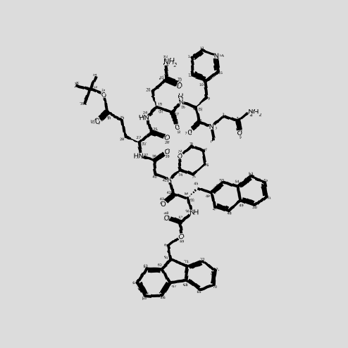 CN(CC(N)=O)C(=O)[C@H](Cc1cccnc1)NC(=O)[C@H](CC(N)=O)NC(=O)[C@H](CCC(=O)OC(C)(C)C)NC(=O)CN(C(=O)[C@H](Cc1ccc2ccccc2c1)NC(=O)OCC1c2ccccc2-c2ccccc21)C1CCCCO1